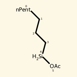 CCCCCCCC[SiH2]OC(C)=O